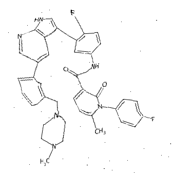 Cc1ccc(C(=O)Nc2ccc(F)c(-c3c[nH]c4ncc(-c5cccc(CN6CCN(C)CC6)c5)cc34)c2)c(=O)n1-c1ccc(F)cc1